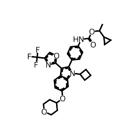 CC(OC(=O)Nc1ccc(-c2c(-c3nc(C(F)(F)F)co3)c3ccc(OC4CCOCC4)cc3n2C2CCC2)cc1)C1CC1